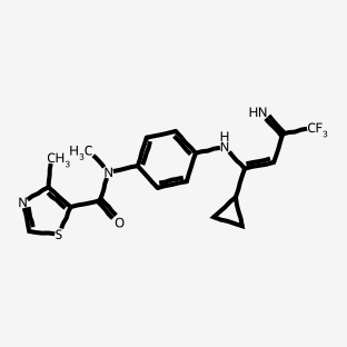 Cc1ncsc1C(=O)N(C)c1ccc(N/C(=C\C(=N)C(F)(F)F)C2CC2)cc1